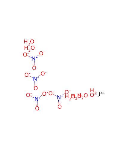 O.O.O.O.O.O.O=[N+]([O-])[O-].O=[N+]([O-])[O-].O=[N+]([O-])[O-].O=[N+]([O-])[O-].[U+4]